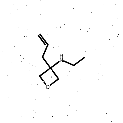 C=CCC1(NCC)COC1